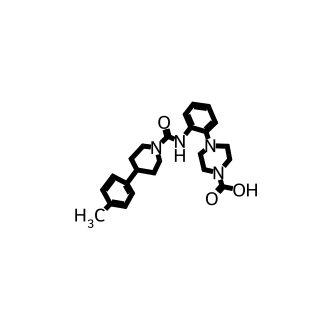 Cc1ccc(C2CCN(C(=O)Nc3ccccc3N3CCN(C(=O)O)CC3)CC2)cc1